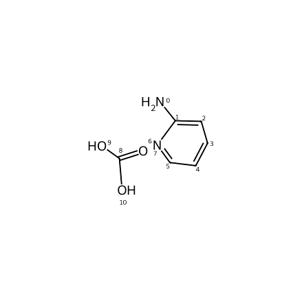 Nc1ccccn1.O=C(O)O